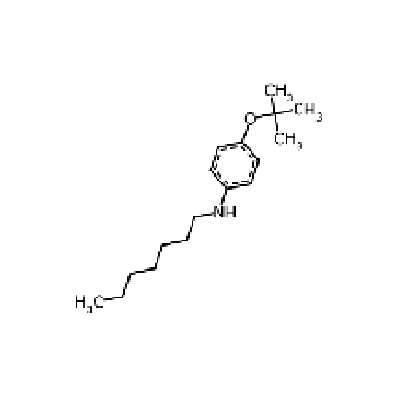 CCCCCCCNc1ccc(OC(C)(C)C)cc1